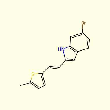 Cc1ccc(/C=C/c2cc3ccc(Br)cc3[nH]2)s1